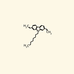 C=Cc1ccc2c3ccc(C=C)cc3n(CCCCCCCC)c2c1